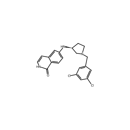 O=c1[nH]ccc2cc(N[C@H]3CCN(Cc4cc(Cl)cc(Cl)c4)C3)ccc12